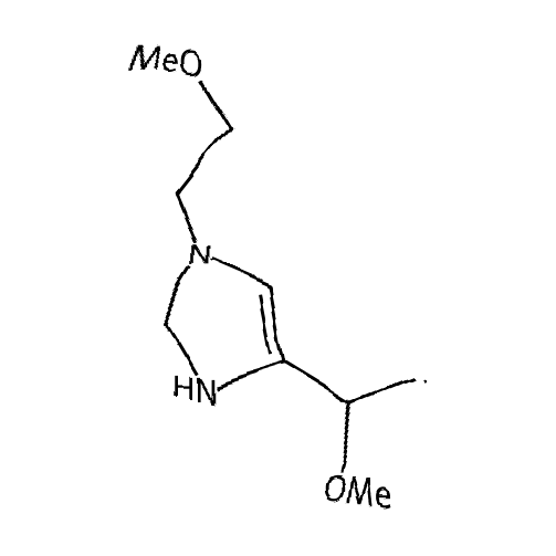 [CH2]C(OC)C1=CN(CCOC)CN1